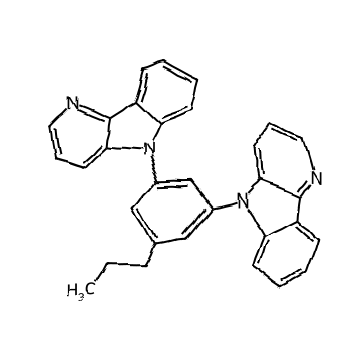 CCCc1cc(-n2c3ccccc3c3ncccc32)cc(-n2c3ccccc3c3ncccc32)c1